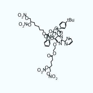 COc1ccccc1Oc1c(OCCOC(=O)CCCC(CO[N+](=O)[O-])O[N+](=O)[O-])nc(-c2ncccn2)nc1N(C(C)(C)OC(=O)OCCCCCC(CO[N+](=O)[O-])O[N+](=O)[O-])S(=O)(=O)c1ccc(C(C)(C)C)cc1